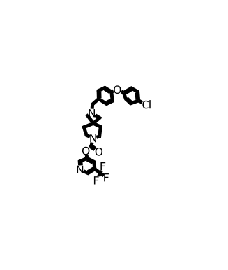 O=C(Oc1cncc(C(F)(F)F)c1)N1CCC2(CC1)CN(Cc1ccc(Oc3ccc(Cl)cc3)cc1)C2